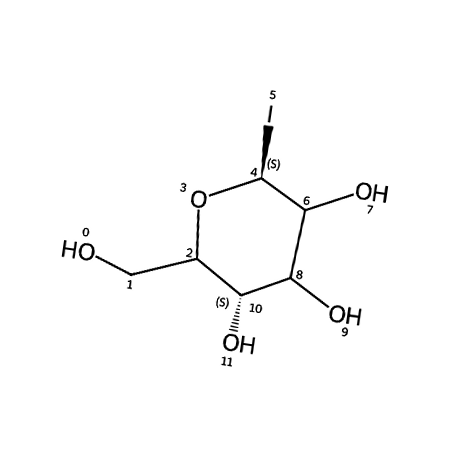 OCC1O[C@@H](I)C(O)C(O)[C@@H]1O